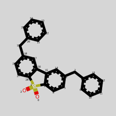 O=S1(=O)c2ccc(Cc3ccccc3)cc2-c2cc(Cc3ccccc3)ccc21